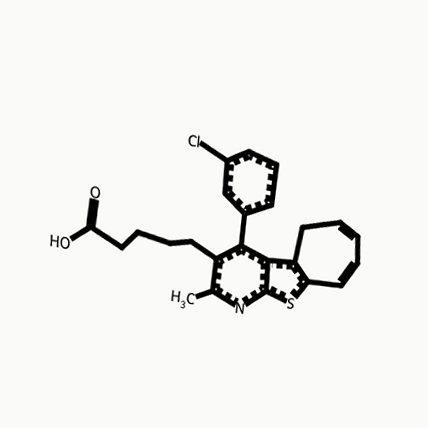 Cc1nc2sc3c(c2c(-c2cccc(Cl)c2)c1CCCCC(=O)O)CC=CC=C3